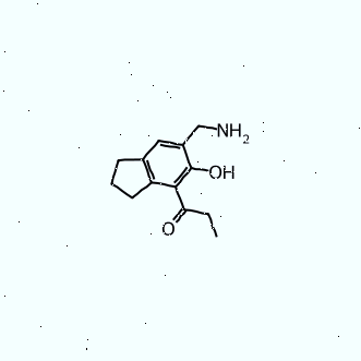 CCC(=O)c1c(O)c(CN)cc2c1CCC2